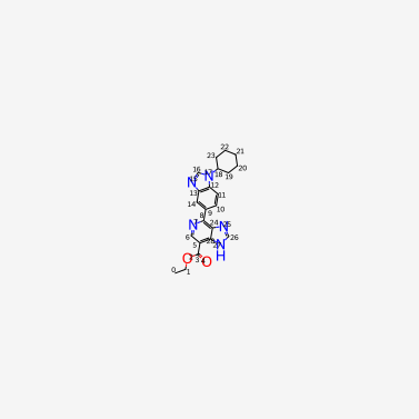 CCOC(=O)c1cnc(-c2ccc3c(c2)ncn3C2CCCCC2)c2nc[nH]c12